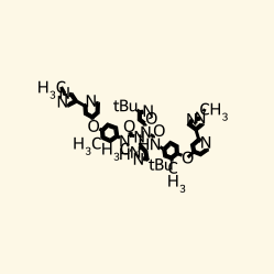 Cc1cc(NC(=O)N(c2cc(C(C)(C)C)no2)N(C(=O)Nc2ccc(Oc3ccnc(-c4cnn(C)c4)c3)c(C)c2)c2cc(C(C)(C)C)nn2C)ccc1Oc1ccnc(-c2cnn(C)c2)c1